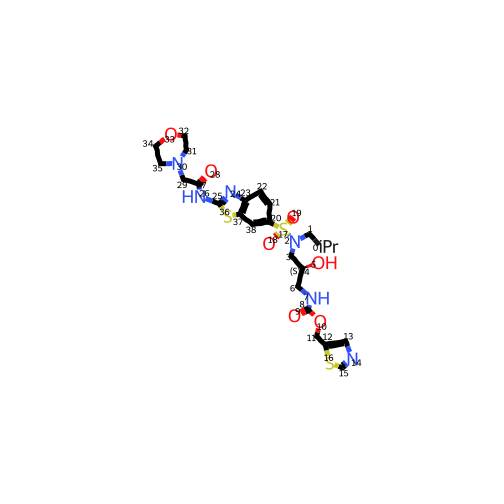 CC(C)CN(C[C@@H](O)CNC(=O)OCc1cncs1)S(=O)(=O)c1ccc2nc(NC(=O)CN3CCOCC3)sc2c1